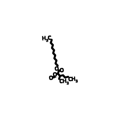 CCCCCCCCCCCCOC(=O)C(O[C]=O)C(CC)CCCC